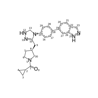 O=C(C1CC1)N1CC[C@@H](CC2=NNCN2c2ccc(-c3ccc4cn[nH]c4c3)cc2)C1